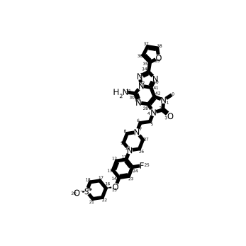 Cn1c(=O)n(CCN2CCN(c3ccc(O[C@H]4CC[S@@+]([O-])CC4)cc3F)CC2)c2nc(N)n3nc(-c4ccco4)nc3c21